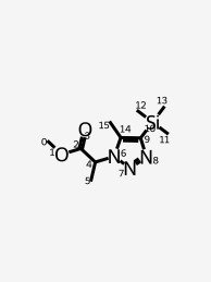 COC(=O)C(C)n1nnc([Si](C)(C)C)c1C